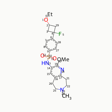 CCOC1CC(F)(c2ccc(S(=O)(=O)Nc3cc4c(nc3OC)CCN(C)CC4)cc2)C1